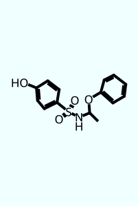 CC(NS(=O)(=O)c1ccc(O)cc1)Oc1ccccc1